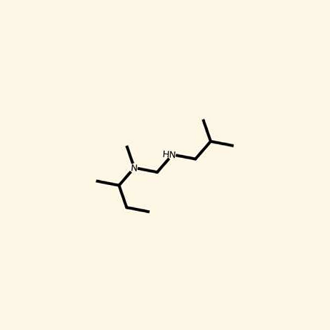 CCC(C)N(C)CNCC(C)C